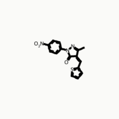 CC1=NN(c2ccc([N+](=O)[O-])cc2)C(=O)C1=Cc1cccs1